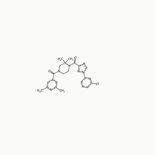 Cc1cc(C)cc(C(=O)N2CCN(C(=O)c3ncn(-c4cccc(Cl)c4)n3)C(C)(C)C2)c1